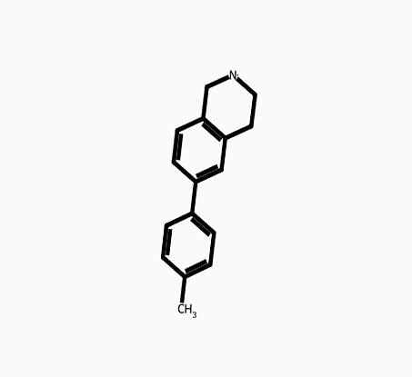 Cc1ccc(-c2ccc3c(c2)CC[N]C3)cc1